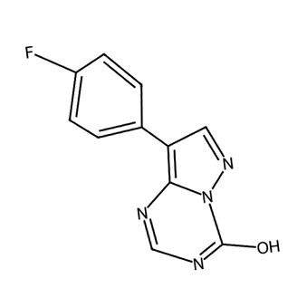 Oc1ncnc2c(-c3ccc(F)cc3)cnn12